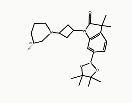 CC1(C)C(=O)N(C2CC(N3CCC[C@@H](F)C3)C2)c2cc(B3OC(C)(C)C(C)(C)O3)ccc21